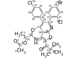 CC(=O)O[C@@H](C)C(=O)Nc1c(C(=O)C(C)(C)C)oc2nc(-c3ccc(Br)cc3Cl)c(-c3ccc(Cl)cc3)cc12